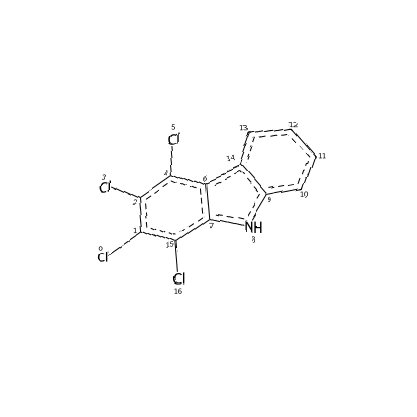 Clc1c(Cl)c(Cl)c2c([nH]c3ccccc32)c1Cl